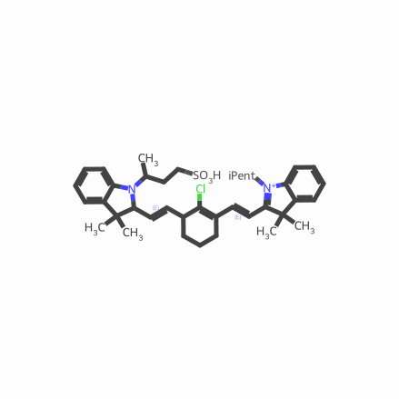 CCCC(C)[N+]1=C(/C=C/C2=C(Cl)C(/C=C/C3N(C(C)CCS(=O)(=O)O)c4ccccc4C3(C)C)CCC2)C(C)(C)c2ccccc21